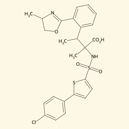 CC1COC(c2ccccc2C(C)C(C)(NS(=O)(=O)c2ccc(-c3ccc(Cl)cc3)s2)C(=O)O)=N1